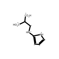 O=C(O)C(CNc1ccc[nH]1)C(=O)O